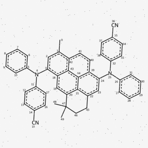 Cc1cc(N(c2ccccc2)c2ccc(C#N)cc2)c2cc3c4c(cc(N(c5ccccc5)c5ccc(C#N)cc5)c5ccc1c2c54)CCC3(C)C